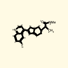 CNC(=O)C(C)C1CC=C2C=C(c3ccnc4ccc(F)cc34)CC2C1